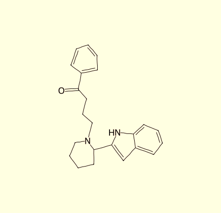 O=C(CCCN1CCCCC1c1cc2ccccc2[nH]1)c1ccccc1